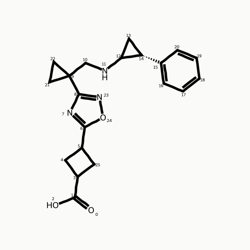 O=C(O)C1CC(c2nc(C3(CNC4C[C@@H]4c4ccccc4)CC3)no2)C1